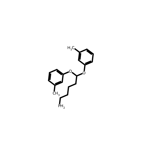 Cc1cccc(OC(CCCCP)Oc2cccc(C)c2)c1